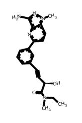 CCN(C)C(=O)[C@H](O)C#Cc1cccc(-c2ccc3c(n2)c(N)nn3C)c1